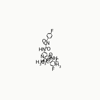 COc1ncc(NC(=O)c2coc(-c3ccc(F)cc3)n2)cc1S(=O)(=O)Nc1c(C)cc(F)cc1C